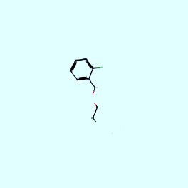 O=C(O)CCOCc1ccccc1Cl